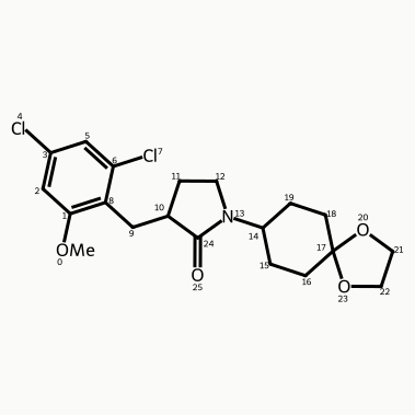 COc1cc(Cl)cc(Cl)c1CC1CCN(C2CCC3(CC2)OCCO3)C1=O